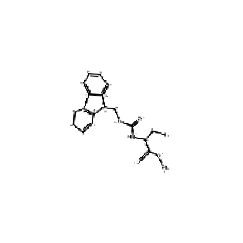 CC(C)(C)OC(=O)[C@H](CI)NC(=O)OCC1C2=C(CCC=C2)c2ccccc21